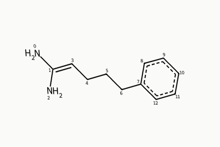 NC(N)=CCCCc1ccccc1